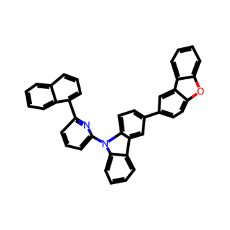 c1cc(-c2cccc3ccccc23)nc(-n2c3ccccc3c3cc(-c4ccc5oc6ccccc6c5c4)ccc32)c1